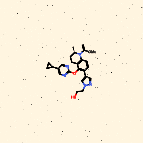 C=C(OC)N1c2ccc(-c3cnn(CCO)c3)c(Oc3ncc(C4CC4)cn3)c2CC[C@@H]1C